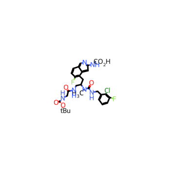 CN(C(=O)NCc1cccc(F)c1Cl)C(CNC(=O)CNC(=O)OC(C)(C)C)Cc1c(F)ccc2cnc(NC(=O)O)cc12